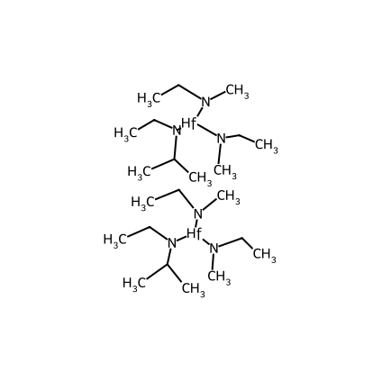 CC[N](C)[Hf]([N](C)CC)[N](CC)C(C)C.CC[N](C)[Hf]([N](C)CC)[N](CC)C(C)C